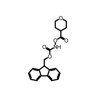 O=C(NOC(=O)C1CCOCC1)OCC1c2ccccc2-c2ccccc21